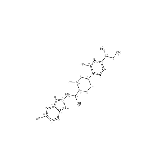 C[C@@H]1CN(c2ncc([C@H](O)CO)cc2F)CCN1C(O)Nc1nc2cc(F)ccc2s1